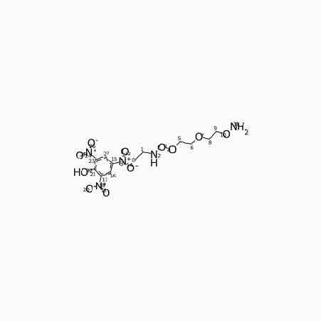 CCNOOCCOCCON.O=[N+]([O-])c1cc([N+](=O)[O-])c(O)c([N+](=O)[O-])c1